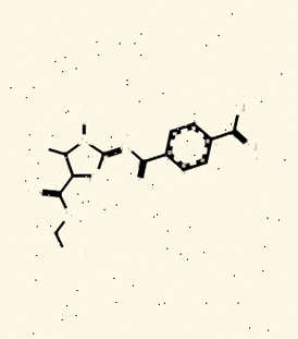 CC1C(C(=O)NCC(=O)O)SC(=NC(=O)c2ccc(C(=N)N)cc2)N1C.Cl